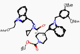 COCCn1cc(CN(C(=O)[C@H]2CN(C(=O)OC(C)(C)C)CC[C@@H]2c2cn(Cc3cc(OC)cc(OC)c3)c3ccccc23)C2CC2)c2ccccc21